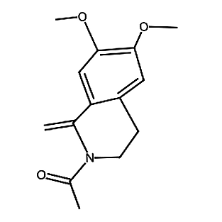 C=C1c2cc(OC)c(OC)cc2CCN1C(C)=O